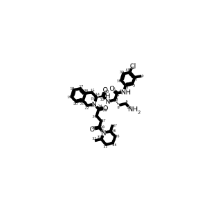 Cc1cc(NC(=O)[C@H](CCN)NC(=O)[C@@H]2Cc3ccccc3CN2C(=O)CCC(=O)N2C(C)CCCC2C)ccc1Cl